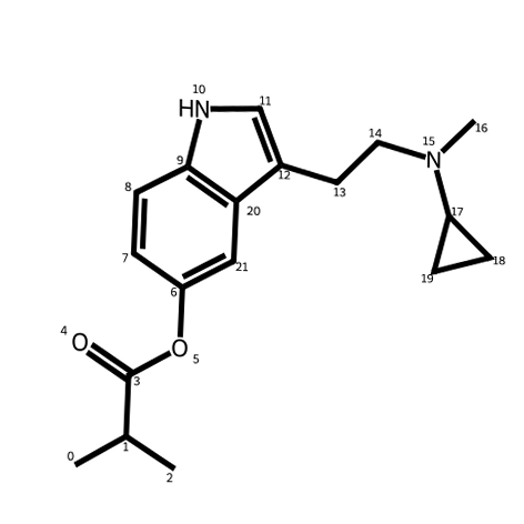 CC(C)C(=O)Oc1ccc2[nH]cc(CCN(C)C3CC3)c2c1